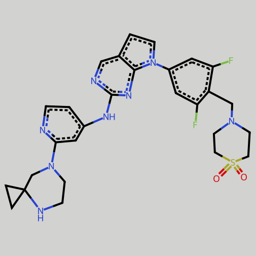 O=S1(=O)CCN(Cc2c(F)cc(-n3ccc4cnc(Nc5ccnc(N6CCNC7(CC7)C6)c5)nc43)cc2F)CC1